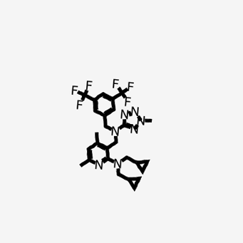 Cc1cc(C)c(CN(Cc2cc(C(F)(F)F)cc(C(F)(F)F)c2)c2nnn(C)n2)c(N(CC2CC2)CC2CC2)n1